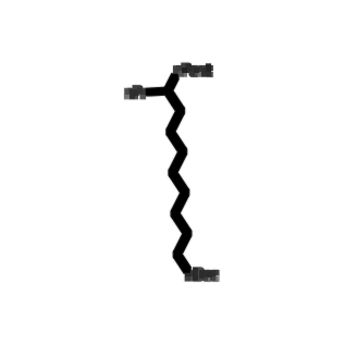 [CH2]CCCCC(CCC)CCCCCCCCCCCCCCCCCC